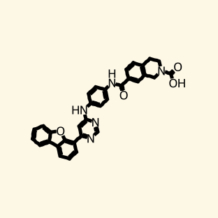 O=C(Nc1ccc(Nc2cc(-c3cccc4c3oc3ccccc34)ncn2)cc1)c1ccc2c(c1)CN(C(=O)O)CC2